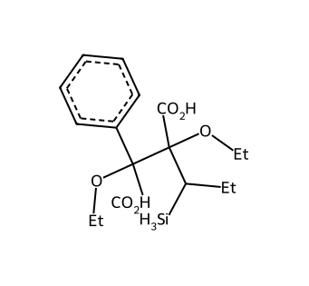 CCOC(C(=O)O)(c1ccccc1)C(OCC)(C(=O)O)C([SiH3])CC